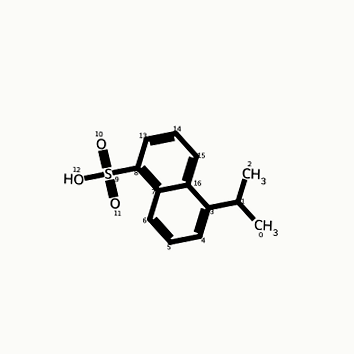 CC(C)c1cccc2c(S(=O)(=O)O)cccc12